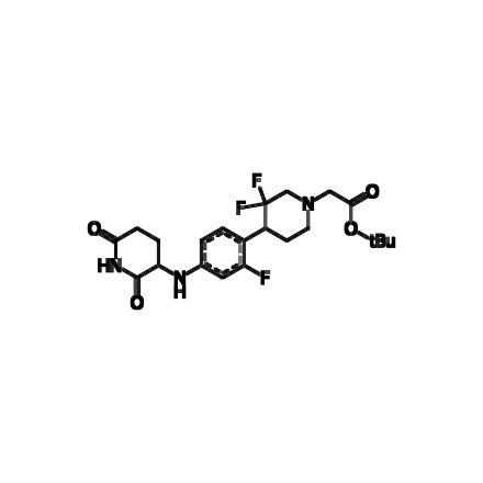 CC(C)(C)OC(=O)CN1CCC(c2ccc(NC3CCC(=O)NC3=O)cc2F)C(F)(F)C1